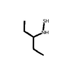 CCC(CC)NS